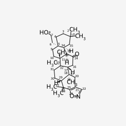 CC1(C)CC[C@]2(CCO)CC[C@]3(C)[C@H](C(=O)C[C@@H]4[C@@]5(C)Cc6cnoc6C(C)(C)[C@@H]5CC[C@]43C)[C@@H]2C1